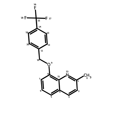 Cc1ccc2cccc(OCc3ccc(C(F)(F)F)cc3)c2n1